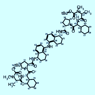 C[C@@H](C(=O)N[C@H](C(=O)N1CCC[C@H]1C(=O)N[C@@H]1CCCc2c(Nc3cccc4c3CCC[C@H]4NC(=O)[C@@H]3CCCN3C(=O)[C@@H](NC(=O)[C@H](C)N(C)C(=O)OC(C)(C)C)C3CCCCC3)cccc21)C1CCCCC1)N(C)C(=O)OC(C)(C)C